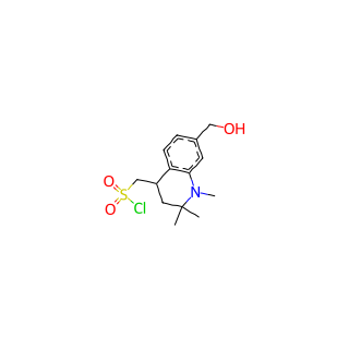 CN1c2cc(CO)ccc2C(CS(=O)(=O)Cl)CC1(C)C